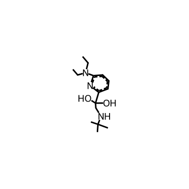 CCN(CC)c1cccc(C(O)(O)CNC(C)(C)C)n1